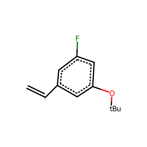 C=[C]c1cc(F)cc(OC(C)(C)C)c1